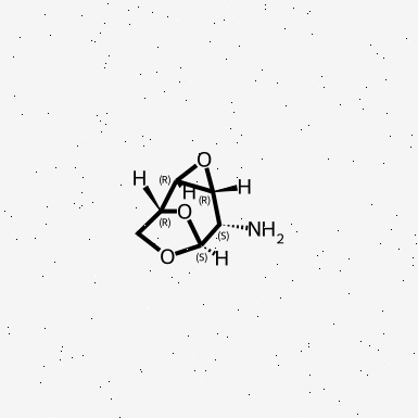 N[C@@H]1[C@H]2OC[C@@H](O2)[C@@H]2O[C@H]12